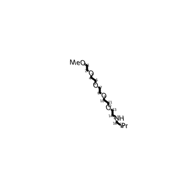 COCCOCCOCCOCCOCCNCC(C)C